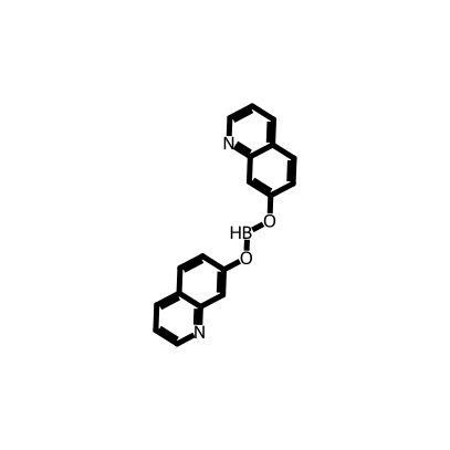 B(Oc1ccc2cccnc2c1)Oc1ccc2cccnc2c1